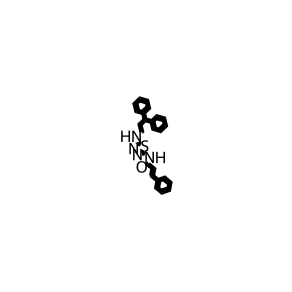 O=C(C=Cc1ccccc1)Nc1nnc(NCCC(c2ccccc2)c2ccccc2)s1